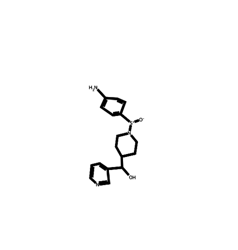 Nc1ccc([S+]([O-])N2CCC(C(O)c3cccnc3)CC2)cc1